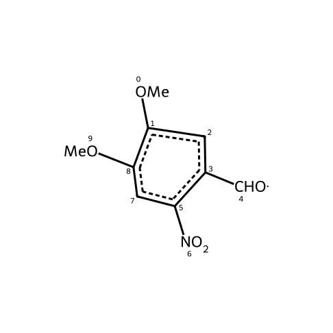 COc1cc([C]=O)c([N+](=O)[O-])cc1OC